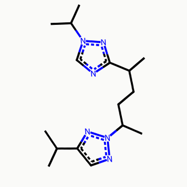 CC(C)c1cnn(C(C)CCC(C)c2ncn(C(C)C)n2)n1